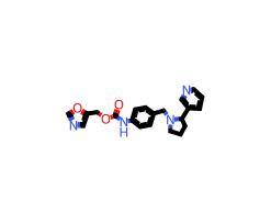 O=C(Nc1ccc(CN2CCCC2c2cccnc2)cc1)OCc1cnco1